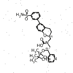 CC(C)(C)[Si](C)(C)O[C@H](CN(C[C@@H]1CCc2cc(-c3cccc(S(N)(=O)=O)c3)ccc2O1)C(=O)O)c1cccnc1